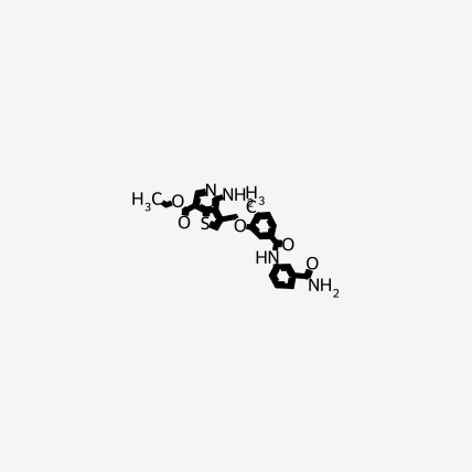 CCOC(=O)c1cnc(N)c2c(COc3cc(C(=O)Nc4cccc(C(N)=O)c4)ccc3C)csc12